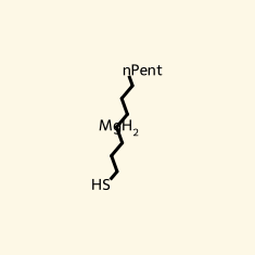 CCCCCCCCCCCCS.[MgH2]